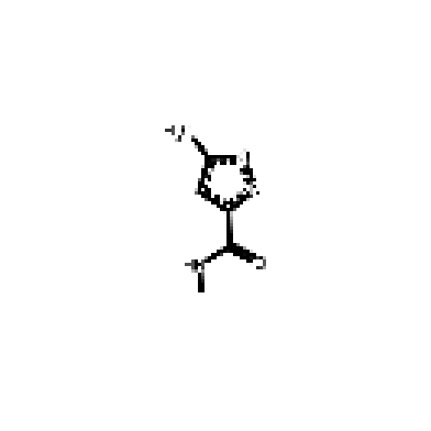 Cc1cc(C(=O)NI)no1